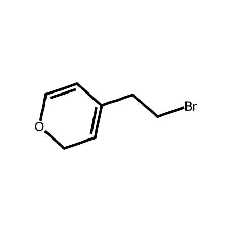 BrCCC1=CCOC=C1